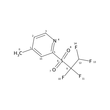 Cc1ccnc(S(=O)(=O)C(F)(F)C(F)F)c1